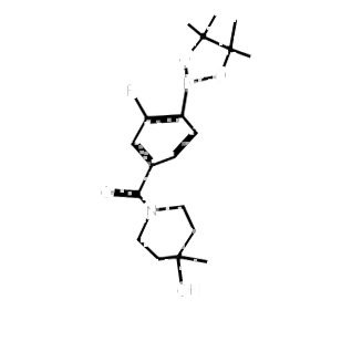 CC1(O)CCN(C(=O)c2ccc(B3OC(C)(C)C(C)(C)O3)c(F)c2)CC1